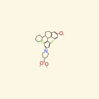 COc1ccc2c(c1)CCC(C1CCCCC1)C2c1c(F)cc(N2CCC(C(OC)OC)CC2)cc1F